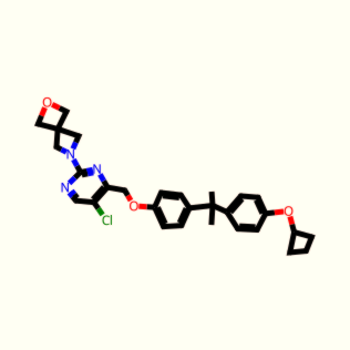 CC(C)(c1ccc(OCc2nc(N3CC4(COC4)C3)ncc2Cl)cc1)c1ccc(OC2CCC2)cc1